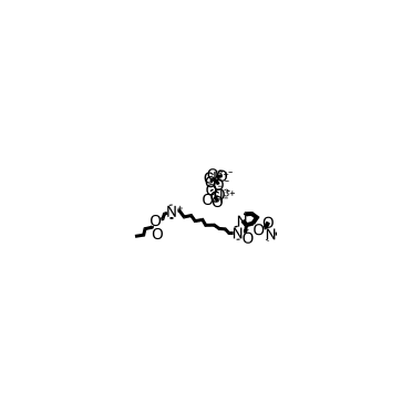 CCCC(=O)OCC[N+](C)(C)CCCCCCCCCC[N+](C)(C)C(=O)c1ncccc1OC(=O)N(C)C.[O-][Cl+3]([O-])([O-])[O-].[O-][Cl+3]([O-])([O-])[O-]